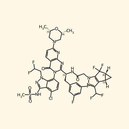 C[C@@H]1CN(c2ccc3c(=O)n(-c4ccc(Cl)c5c(NS(C)(=O)=O)nn(CC(F)F)c45)c([C@H](Cc4cc(F)cc(F)c4)NC(=O)Cn4nc(C(F)F)c5c4C(F)(F)[C@@H]4C[C@H]54)nc3n2)C[C@H](C)O1